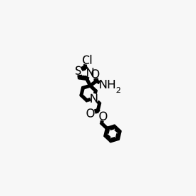 NC(=O)C1(c2csc(Cl)n2)CCCN(CC(=O)OCc2ccccc2)C1